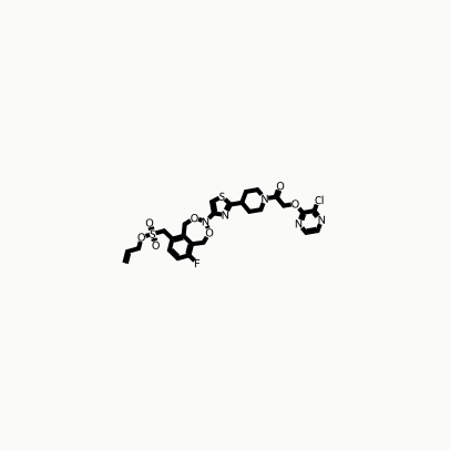 C=CCOS(=O)(=O)Cc1ccc(F)c2c1CON(c1csc(C3CCN(C(=O)COc4nccnc4Cl)CC3)n1)OC2